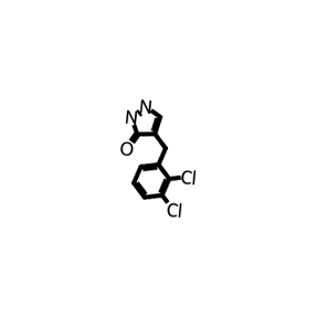 O=C1N=NC=C1Cc1cccc(Cl)c1Cl